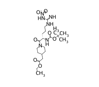 CCOC(=O)CC1CCN(C(=O)[C@H](CCCNC(=N)N[N+](=O)[O-])NC(=O)OC(C)(C)C)CC1